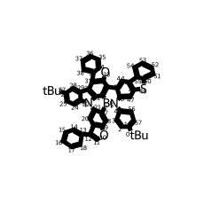 CC(C)(C)c1ccc(N2B3c4cc5occ(-c6ccccc6)c5cc4-n4c5ccc(C(C)(C)C)cc5c5c6c(oc7ccccc76)c(c3c54)-c3cc4c(cc32)sc2ccccc24)cc1